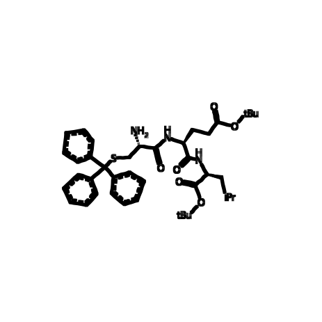 CC(C)C[C@H](NC(=O)[C@H](CCC(=O)OC(C)(C)C)NC(=O)[C@@H](N)CSC(c1ccccc1)(c1ccccc1)c1ccccc1)C(=O)OC(C)(C)C